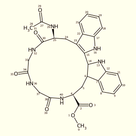 COC(=O)[C@@H]1CC2c3ccccc3NC2c2[nH]c3ccccc3c2C[C@H](NC(C)=O)C(=O)NCC(=O)NCC(=O)N1